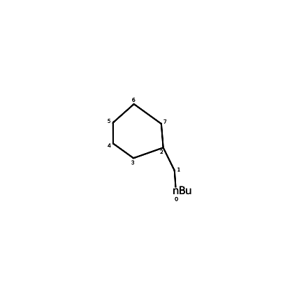 CCCCCC1CCCCC1